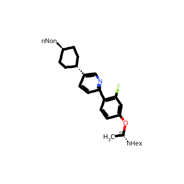 CCCCCCCCC[C@H]1CC[C@H](c2ccc(-c3ccc(O[C@@H](C)CCCCCC)cc3F)nc2)CC1